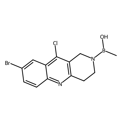 CB(O)N1CCc2nc3ccc(Br)cc3c(Cl)c2C1